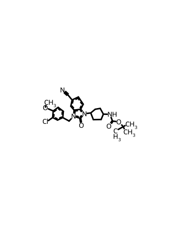 COc1ccc(Cn2c(=O)n(C3CCC(NC(=O)OC(C)(C)C)CC3)c3ccc(C#N)cc32)cc1Cl